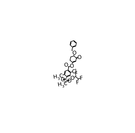 Cc1cc(C(=O)OC2=CC(=O)C(OCc3ccccc3)CC2)c(Cl)c(OC(F)C(F)F)c1S(C)(=O)=O